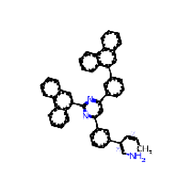 C/C=C\C(=C/N)c1cccc(-c2cc(-c3cccc(-c4cc5ccccc5c5ccccc45)c3)nc(-c3cc4ccccc4c4ccccc34)n2)c1